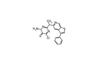 CC(C1=NC(N)C(=S)C(Cl)=N1)c1cc2c(-c3ccccc3)csc2cn1